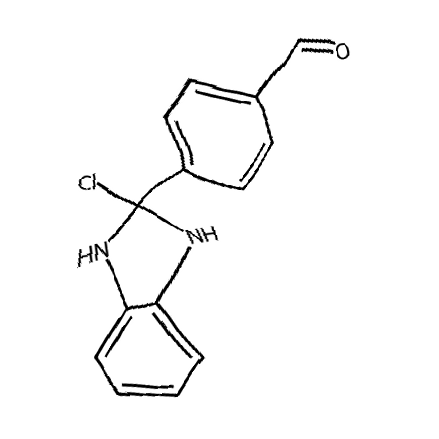 O=Cc1ccc(C2(Cl)Nc3ccccc3N2)cc1